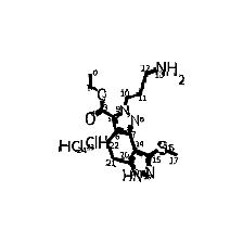 CCOC(=O)c1c2c(nn1CCCN)-c1c(SC)n[nH]c1CC2.Cl.Cl